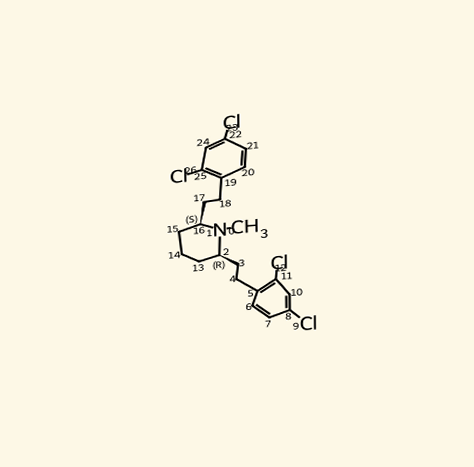 CN1[C@@H](CCc2ccc(Cl)cc2Cl)CCC[C@H]1CCc1ccc(Cl)cc1Cl